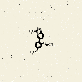 N#CCOc1cc(OC(F)(F)F)ccc1-c1ccc2nnc(C(F)(F)F)n2c1